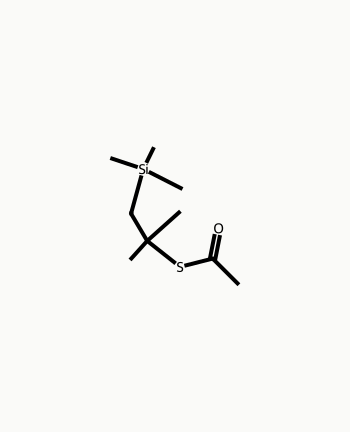 CC(=O)SC(C)(C)C[Si](C)(C)C